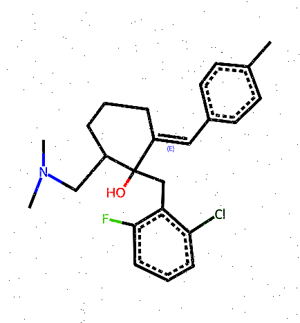 Cc1ccc(/C=C2\CCCC(CN(C)C)C2(O)Cc2c(F)cccc2Cl)cc1